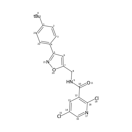 CC(C)(C)c1ccc(-c2cc(CNC(=O)c3cc(Cl)cnc3Cl)on2)cc1